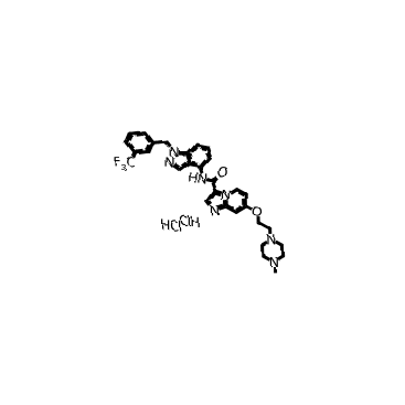 CN1CCN(CCOc2ccn3c(C(=O)Nc4cccc5c4cnn5Cc4cccc(C(F)(F)F)c4)cnc3c2)CC1.Cl.Cl